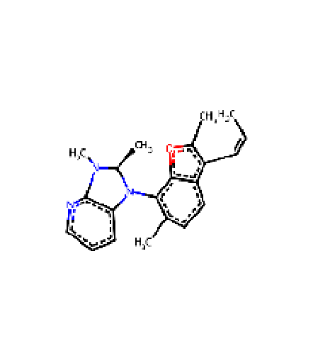 C/C=C\c1c(C)oc2c(N3c4cccnc4N(C)[C@H]3C)c(C)ccc12